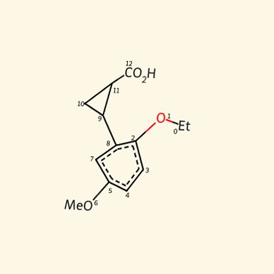 CCOc1ccc(OC)cc1C1CC1C(=O)O